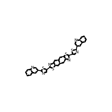 c1ccc2ncc(-c3ncc(-c4nc5cc6cc7sc(-c8cnc(-c9cnc%10ccccc%10c9)s8)nc7cc6cc5s4)s3)cc2c1